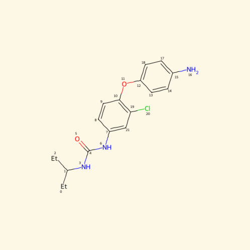 CCC(CC)NC(=O)Nc1ccc(Oc2ccc(N)cc2)c(Cl)c1